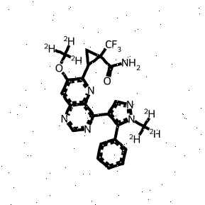 [2H]C([2H])([2H])Oc1cc2ncnc(-c3cnn(C([2H])([2H])[2H])c3-c3ccccc3)c2nc1C1CC1(C(N)=O)C(F)(F)F